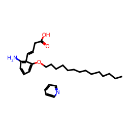 CCCCCCCCCCCCCCOc1cccc(N)c1/C=C/CC(=O)O.c1ccncc1